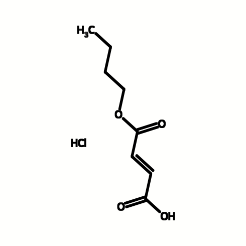 CCCCOC(=O)C=CC(=O)O.Cl